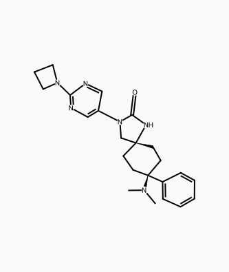 CN(C)[C@]1(c2ccccc2)CC[C@@]2(CC1)CN(c1cnc(N3CCC3)nc1)C(=O)N2